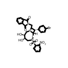 O=C1c2ccccc2C(=O)N1CC1[C@H](c2ccc(Br)cc2)[C@@H]2CN(S(=O)(=O)c3ccccc3[N+](=O)[O-])C[C@@H](O)[C@@H](O)CN12